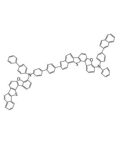 c1ccc(-c2ccc(N(c3ccc(-c4ccc(-c5ccc6c(ccc7c8ccc9oc%10c(N(c%11ccccc%11)c%11ccc(-c%12ccc%13ccccc%13c%12)cc%11)cccc%10c9c8sc67)c5)cc4)cc3)c3cccc4c3oc3ccc5c6ccc7ccccc7c6sc5c34)cc2)cc1